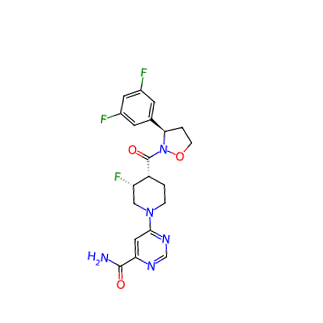 NC(=O)c1cc(N2CC[C@@H](C(=O)N3OCC[C@@H]3c3cc(F)cc(F)c3)[C@@H](F)C2)ncn1